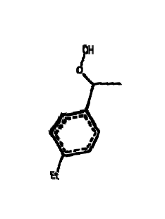 CCc1ccc(C(C)OO)cc1